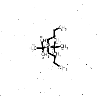 CCC[CH2][Sn]([CH2]CCC)([C](C)(C)C)[C](C)(C)C